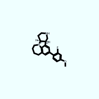 COc1ccc(-c2cc3c4c(c2)[C@@H]2CNCC[C@@H]2N4CCCC3)c(F)c1